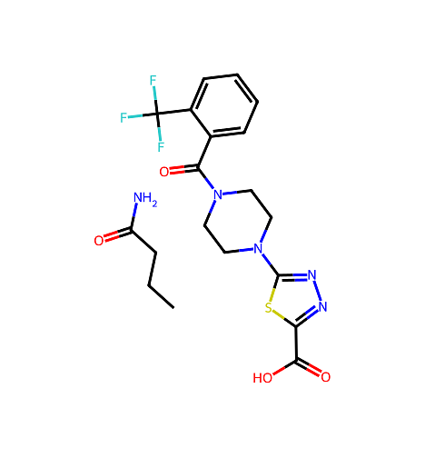 CCCC(N)=O.O=C(O)c1nnc(N2CCN(C(=O)c3ccccc3C(F)(F)F)CC2)s1